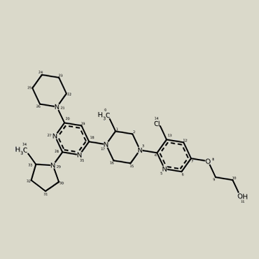 CC1CN(c2ncc(OCCO)cc2Cl)CCN1c1cc(N2CCCCC2)nc(N2CCCC2C)n1